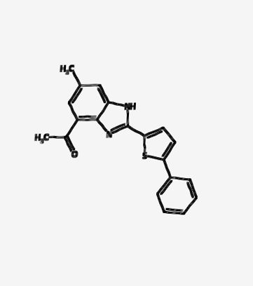 CC(=O)c1cc(C)cc2[nH]c(-c3ccc(-c4ccccc4)s3)nc12